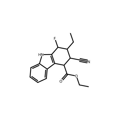 CCOC(=O)C1c2c([nH]c3ccccc23)C(F)C(CC)C1C#N